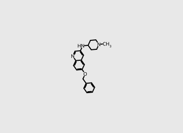 CN1CCC(Nc2cnc3ccc(OCc4ccccc4)cc3c2)CC1